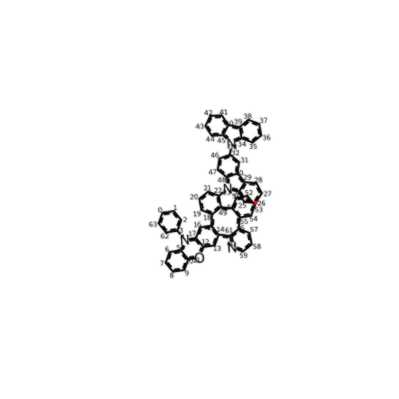 c1ccc(-n2c3ccccc3oc3cc4c(cc32)c2cccc(-n3c5ccccc5c5cc(-n6c7ccccc7c7ccccc76)ccc53)c2c2ccccc2c2cccnc24)cc1